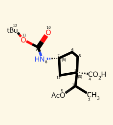 CC(=O)OC(C)[C@]1(C(=O)O)CC[C@@H](NC(=O)OC(C)(C)C)C1